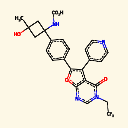 CC1(O)CC(NC(=O)O)(c2ccc(-c3oc4ncn(CC(F)(F)F)c(=O)c4c3-c3ccncc3)cc2)C1